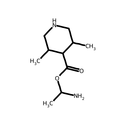 CC(N)OC(=O)C1C(C)CNCC1C